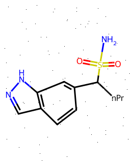 CCCC(c1ccc2cn[nH]c2c1)S(N)(=O)=O